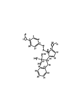 COc1ccc(CCn2c(OC)ccc2C(Cc2ccccc2)C(F)(F)F)cc1